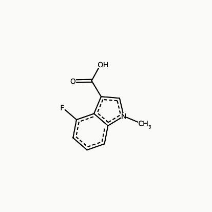 Cn1cc(C(=O)O)c2c(F)cccc21